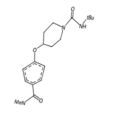 CNC(=O)c1ccc(OC2CCN(C(=O)NC(C)(C)C)CC2)cc1